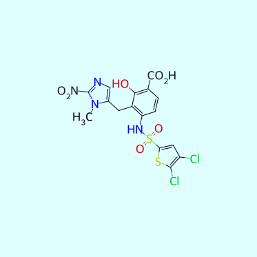 Cn1c(Cc2c(NS(=O)(=O)c3cc(Cl)c(Cl)s3)ccc(C(=O)O)c2O)cnc1[N+](=O)[O-]